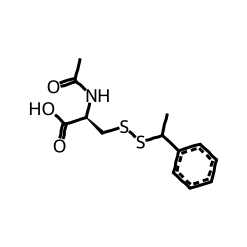 CC(=O)N[C@@H](CSSC(C)c1ccccc1)C(=O)O